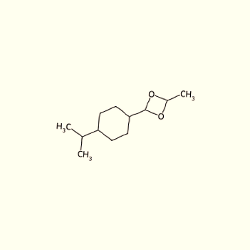 CC1OC(C2CCC(C(C)C)CC2)O1